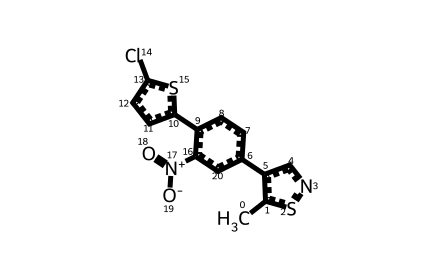 Cc1sncc1-c1ccc(-c2ccc(Cl)s2)c([N+](=O)[O-])c1